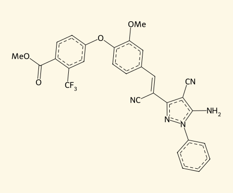 COC(=O)c1ccc(Oc2ccc(C=C(C#N)c3nn(-c4ccccc4)c(N)c3C#N)cc2OC)cc1C(F)(F)F